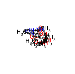 C/C1=C/C=C/[C@H](C)[C@H](O)[C@@H](C)[C@@H](O)[C@@H](C)C(C)O[C@@]2(C)Oc3c(C)c(O)c4c(c3C2=O)C2=NC3(CC5CCC(C3)N5C)NC2=C(NC1=O)C4=O